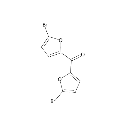 O=C(c1ccc(Br)o1)c1ccc(Br)o1